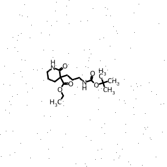 CCOC(=O)C1(CCCNC(=O)OC(C)(C)C)CCCNC1=O